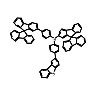 c1ccc2c(c1)-c1ccccc1C21c2ccccc2-c2ccc(-c3ccc(N(c4ccc(-c5ccc6sc7ccccc7c6c5)cc4)c4ccc5c(c4)C4(c6ccccc6-c6ccccc64)c4ccccc4-5)cc3)cc21